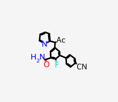 CC(=O)C(c1cc(C(N)=O)c(F)c(-c2ccc(C#N)cc2)c1)c1ccccn1